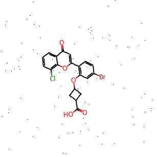 O=C(O)C1CC(Oc2cc(Br)ccc2-c2cc(=O)c3cccc(Cl)c3o2)C1